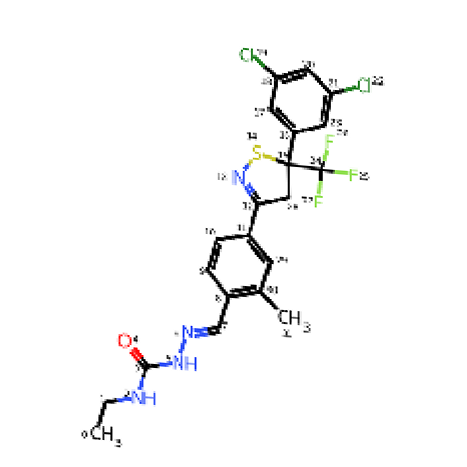 CCNC(=O)NN=Cc1ccc(C2=NSC(c3cc(Cl)cc(Cl)c3)(C(F)(F)F)C2)cc1C